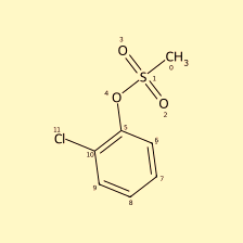 CS(=O)(=O)Oc1[c]cccc1Cl